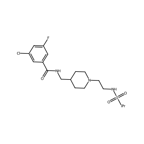 CC(C)S(=O)(=O)NCCN1CCC(CNC(=O)c2cc(F)cc(Cl)c2)CC1